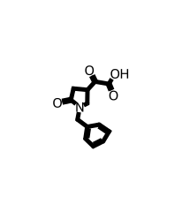 O=C(O)C(=O)C1CC(=O)N(Cc2ccccc2)C1